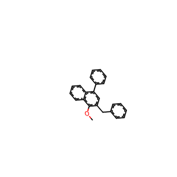 COc1c(Cc2ccccc2)cc(-c2ccccc2)c2ccccc12